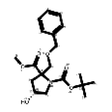 COC(=O)C1(COCc2ccccc2)C[C@@H](O)CN1C(=O)OC(C)(C)C